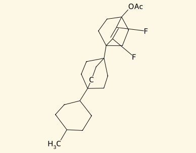 CC(=O)OC12CCC(C34CCC(C5CCC(C)CC5)(CC3)CC4)(CC1)C(F)=C2F